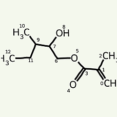 C=C(C)C(=O)OCC(O)C(C)CC